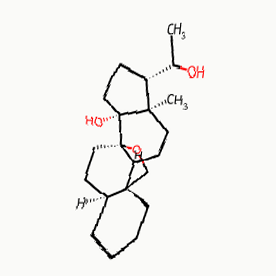 CC(O)[C@H]1CC[C@]2(O)[C@@]34CC[C@@H]5CCCC[C@]5(CO3)[C@H]4CC[C@]12C